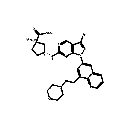 CNC(=O)[C@]1(C)CC[C@@H](Nc2ncc3c(Br)nn(-c4cc(CCN5CCOCC5)c5ncccc5c4)c3n2)C1